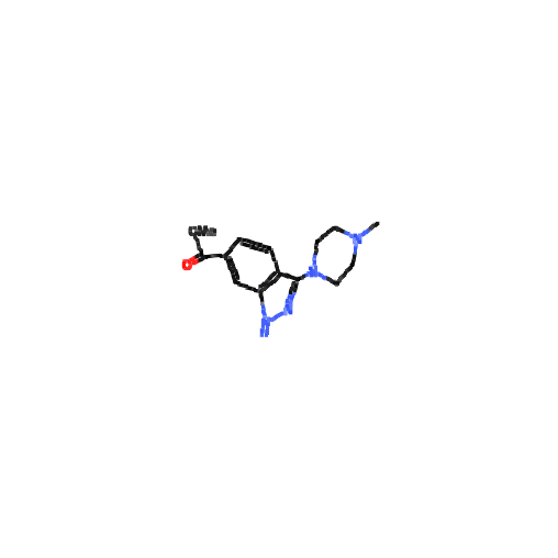 COC(=O)c1ccc2c(N3CCN(C)CC3)n[nH]c2c1